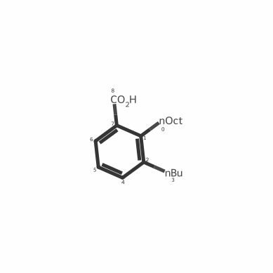 CCCCCCCCc1c(CCCC)cccc1C(=O)O